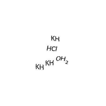 Cl.O.[KH].[KH].[KH]